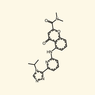 CC(C)n1cnnc1-c1cccc(Nc2cccc3oc(C(=O)N(C)C)cc(=O)c23)n1